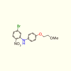 COCCOc1ccc(Nc2cc(Br)ccc2[N+](=O)[O-])cc1